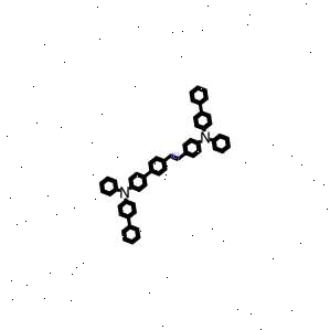 C(=C\c1ccc(N(c2ccccc2)c2ccc(-c3ccccc3)cc2)cc1)/c1ccc(-c2ccc(N(c3ccccc3)c3ccc(-c4ccccc4)cc3)cc2)cc1